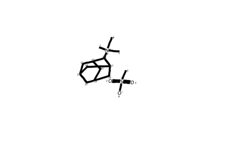 CS(=O)(=O)[O-].C[N+](C)(C)C1C2CC3CC(C2)CC1C3